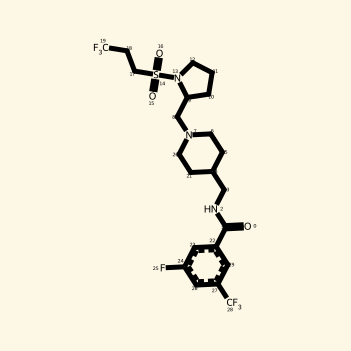 O=C(NCC1CCN(CC2CCCN2S(=O)(=O)CCC(F)(F)F)CC1)c1cc(F)cc(C(F)(F)F)c1